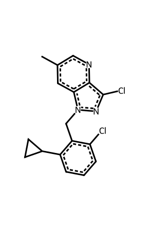 Cc1cnc2c(Cl)nn(Cc3c(Cl)cccc3C3CC3)c2c1